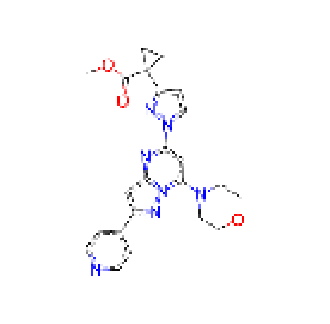 COC(=O)C1(c2ccn(-c3cc(N4CCOCC4)n4nc(-c5ccncc5)cc4n3)n2)CC1